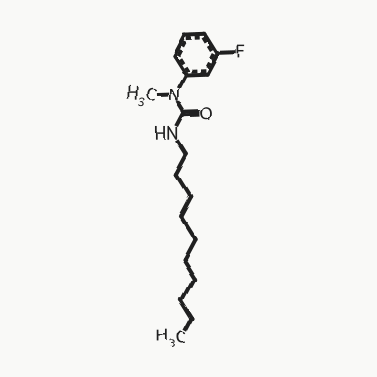 CCCCCCCCCCNC(=O)N(C)c1cccc(F)c1